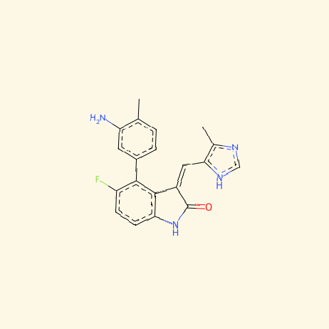 Cc1ccc(-c2c(F)ccc3c2C(=Cc2[nH]cnc2C)C(=O)N3)cc1N